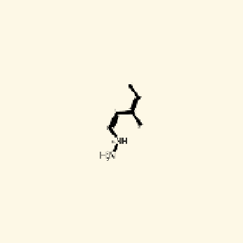 C/C=C(C)\C=C/NN